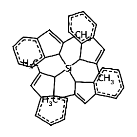 CC1=Cc2ccccc2C1[Si](C1C(C)=Cc2ccccc21)(C1C(C)=Cc2ccccc21)C1C(C)=Cc2ccccc21